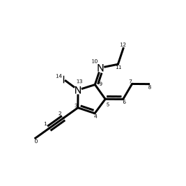 CC#CC1=CC(=C/CC)/C(=N\CC)N1I